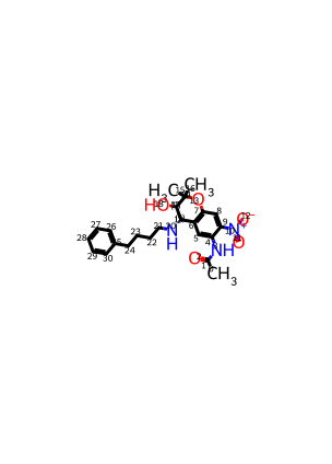 CC(=O)Nc1cc2c(cc1[N+](=O)[O-])OC(C)(C)[C@H](O)[C@H]2NCCCCc1ccccc1